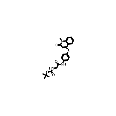 Cn1c(=O)cc(Sc2ccc(NC(=O)CNC(=O)OC(C)(C)C)cc2)c2ccccc21